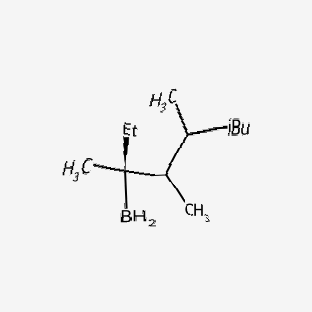 B[C@@](C)(CC)C(C)C(C)C(C)CC